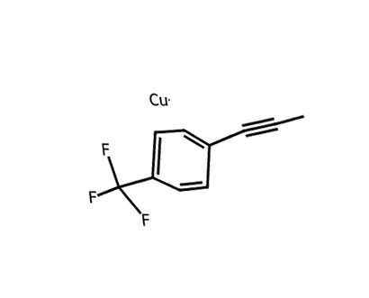 CC#Cc1ccc(C(F)(F)F)cc1.[Cu]